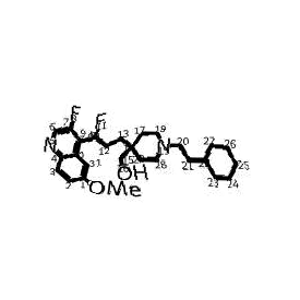 COc1ccc2ncc(F)c([C@@H](F)CCC3(CO)CCN(CCC4CCCCC4)CC3)c2c1